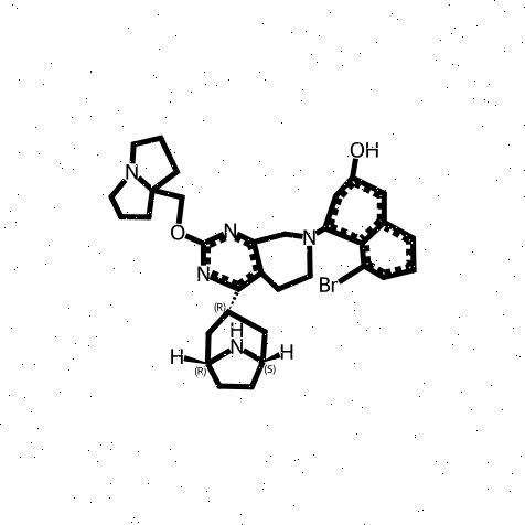 Oc1cc(N2CCc3c(nc(OCC45CCCN4CCC5)nc3[C@H]3C[C@H]4CC[C@@H](C3)N4)C2)c2c(Br)cccc2c1